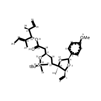 C=C[C@@H]1O[C@H](c2ccc(OC)cc2)O[C@]1(C)CC[C@H](CC(=O)O[C@H](/C(C)=C/I)[C@@H](C)C=C)O[Si](C)(C)C(C)(C)C